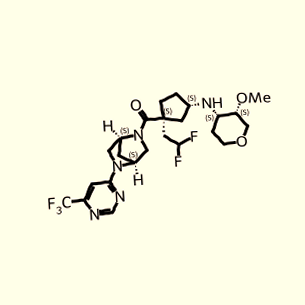 CO[C@@H]1COCC[C@@H]1N[C@H]1CC[C@](CC(F)F)(C(=O)N2C[C@@H]3C[C@H]2CN3c2cc(C(F)(F)F)ncn2)C1